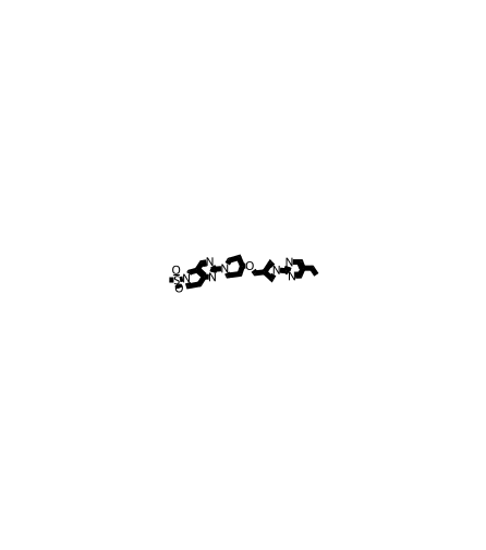 CCc1cnc(N2CC(COC3CCN(c4ncc5c(n4)CCN(S(C)(=O)=O)C5)CC3)C2)nc1